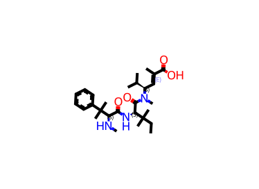 CCC(C)(C)[C@H](NC(=O)[C@@H](NC)C(C)(C)c1ccccc1)C(=O)N(C)[C@H](/C=C(\C)C(=O)O)C(C)C